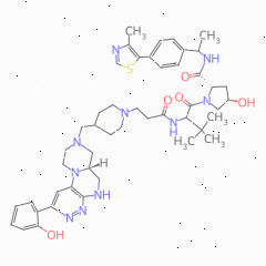 Cc1ncsc1-c1ccc(C(C)NC(=O)[C@@H]2C[C@@H](O)CN2C(=O)C(NC(=O)CCN2CCC(CN3CCN4c5cc(-c6ccccc6O)nnc5NC[C@H]4C3)CC2)C(C)(C)C)cc1